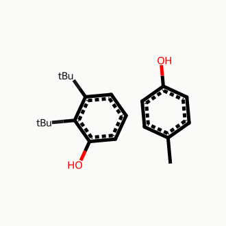 CC(C)(C)c1cccc(O)c1C(C)(C)C.Cc1ccc(O)cc1